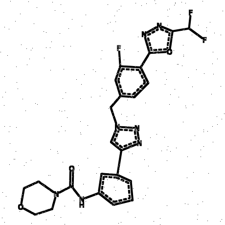 O=C(Nc1cccc(-c2cn(Cc3ccc(-c4nnc(C(F)F)o4)c(F)c3)nn2)c1)N1CCOCC1